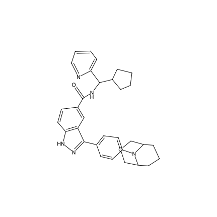 O=C(NC(c1ccccn1)C1CCCC1)c1ccc2[nH]nc(-c3ccc(N4C5CCCC4COC5)cc3)c2c1